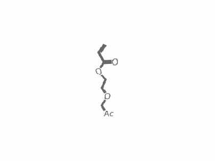 C=CC(=O)OCCOCC(C)=O